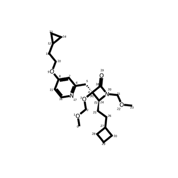 COCO[C@@]1(Cc2cc(OCCC3CC3)ccn2)C(=O)N(COC)[C@H]1CCC1CCC1